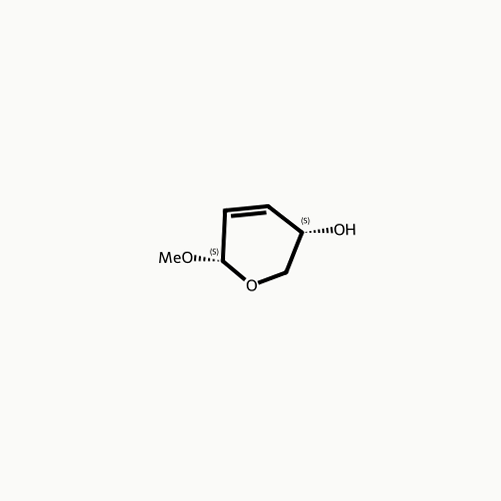 CO[C@@H]1C=C[C@H](O)CO1